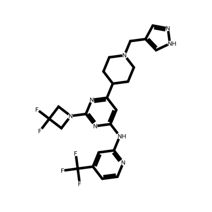 FC1(F)CN(c2nc(Nc3cc(C(F)(F)F)ccn3)cc(C3CCN(Cc4cn[nH]c4)CC3)n2)C1